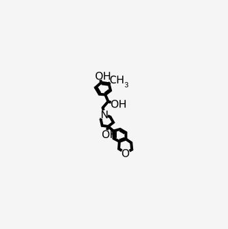 Cc1cc(C(O)CN2CCC(O)(c3ccc4c(c3)COCC4)CC2)ccc1O